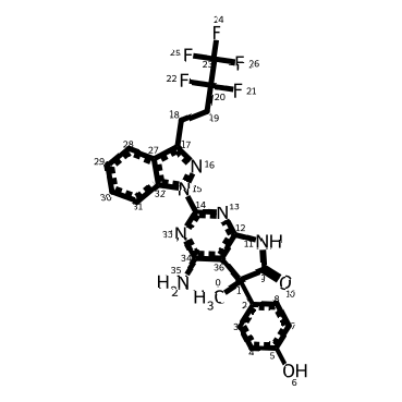 CC1(c2ccc(O)cc2)C(=O)Nc2nc(-n3nc(CCC(F)(F)C(F)(F)F)c4ccccc43)nc(N)c21